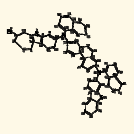 CCC1CC=Cc2c(sc3cc(N(c4ccc5c(ccc6cc(N(c7ccc8c(c7)sc7ccccc78)c7cccc8ccccc78)ccc65)c4)c4cccc5ccccc45)ccc23)C1